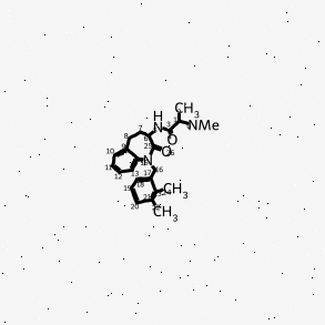 CNC(C)C(=O)NC1CCc2ccccc2N(Cc2cccc(C)c2C)C1=O